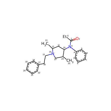 CCC(=O)N(c1ccccc1)C1CC(C)N(CCc2ccccc2)CC1C